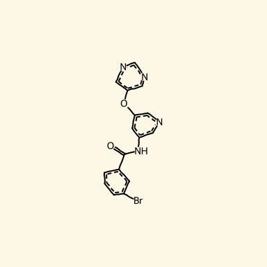 O=C(Nc1cncc(Oc2cncnc2)c1)c1cccc(Br)c1